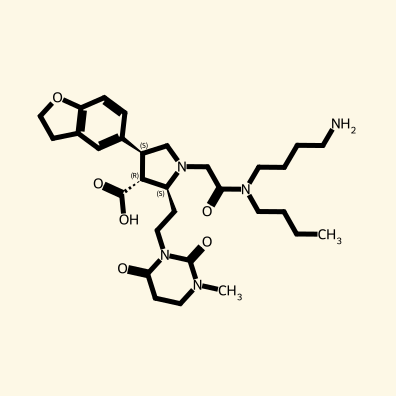 CCCCN(CCCCN)C(=O)CN1C[C@H](c2ccc3c(c2)CCO3)[C@@H](C(=O)O)[C@@H]1CCN1C(=O)CCN(C)C1=O